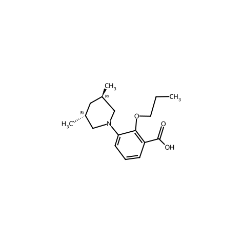 CCCOc1c(C(=O)O)cccc1N1C[C@H](C)C[C@@H](C)C1